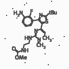 C=N/C(=N\C(=C/C)c1sc(C(C)(C)C)nc1-c1cccc(N)c1F)NCCNC(=O)OC